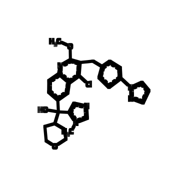 COc1nc2ccc(C(O)(c3cncn3C)C3CCOCC3)cc2c(Cl)c1Cc1ccc(-n2cccn2)cc1